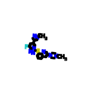 CN1CCN(c2cnc3c(Sc4nnc5c(F)cc(-c6cnn(C)c6)cn45)cccc3c2)CC1